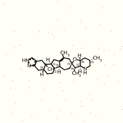 CC1=C2C[C@H]3C(CC[C@@H]4Cc5n[nH]cc5C[C@@]43C)[C@@H]2CC[C@@]2(C1)O[C@@H]1C[C@H](C)CN[C@H]1[C@H]2C